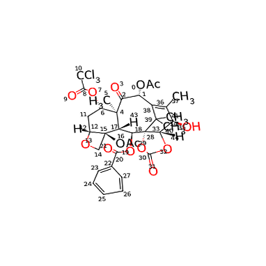 CC(=O)O[C@H]1C(=O)[C@]2(C)[C@@H](OC(=O)C(Cl)(Cl)Cl)C[C@H]3OC[C@@]3(OC(C)=O)[C@H]2[C@H](OC(=O)c2ccccc2)[C@]23OC(=O)O[C@H]2[C@H](O)C(C)=C1C3(C)C